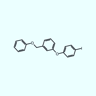 Ic1ccc(Oc2cccc(COc3ccccc3)c2)cc1